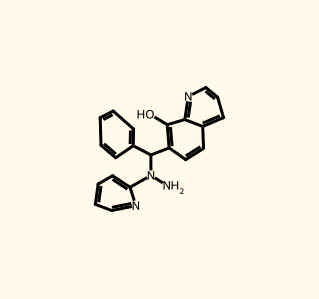 NN(c1ccccn1)C(c1ccccc1)c1ccc2cccnc2c1O